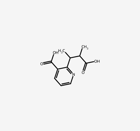 CC(C(=O)O)C(C)c1ncccc1C(=O)O